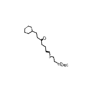 CCCCCCCCCCCCSC=CCCC(=O)CCC1CCCCC1